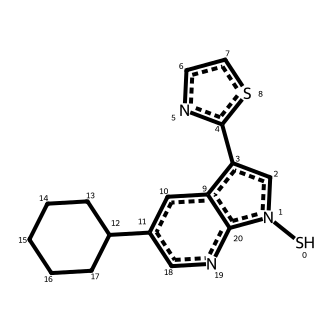 Sn1cc(-c2nccs2)c2cc(C3CCCCC3)cnc21